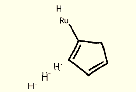 [H-].[H-].[H-].[H-].[Ru][C]1=CC=CC1